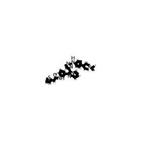 CC(C)N1CCC(c2ccc(Nc3nccc(-c4c(-c5cccc(NC(=O)Cc6cccs6)c5)nc5ccccn45)n3)cc2)CC1